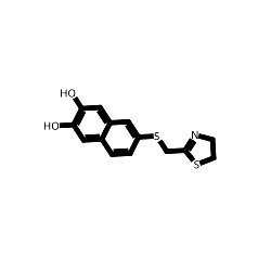 Oc1cc2ccc(SCC3=NCCS3)cc2cc1O